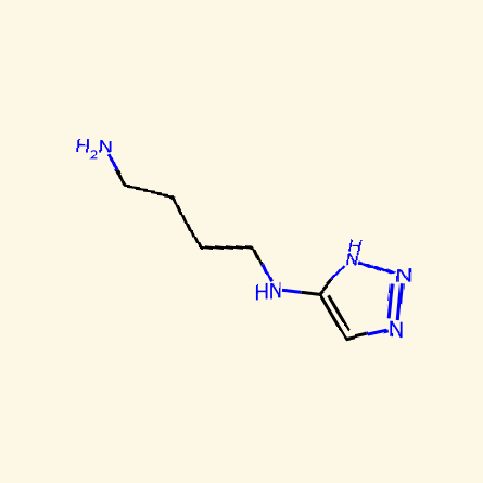 NCCCCNc1cnn[nH]1